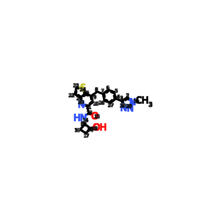 Cn1cc(-c2ccc(Cc3cc(C(=O)N[C@H]4CC[C@@H]4O)nc4ccsc34)cc2)nn1